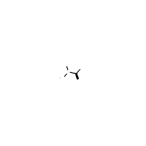 CCCC(=O)N(C(C)C)C(C)C